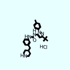 Cc1ccc(-n2nc(C(C)(C)C)cc2NC(=O)Nc2cccc(CC3CCNCC3)c2)cc1.Cl